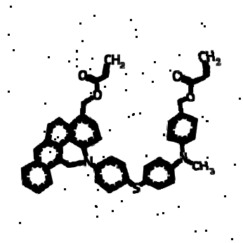 C=CC(=O)OCc1ccc(N(C)c2ccc(Sc3ccc(N(Cc4c5ccccc5cc5ccccc45)c4ccc(COC(=O)C=C)cc4)cc3)cc2)cc1